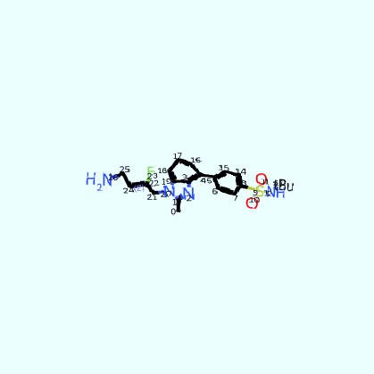 Cc1nc2c(-c3ccc(S(=O)(=O)NC(C)(C)C)cc3)cccc2n1C/C(F)=C/CN